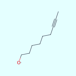 CC#CCCCCCC[O]